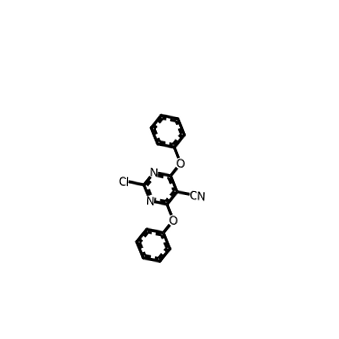 N#Cc1c(Oc2ccccc2)nc(Cl)nc1Oc1ccccc1